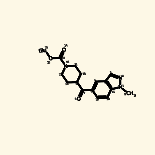 Cn1ncc2cc(C(=O)C3CCN(C(=O)OC(C)(C)C)CC3)ccc21